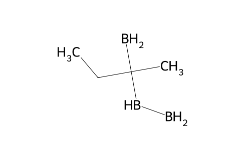 BBC(B)(C)CC